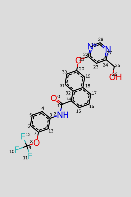 O=C(Nc1cccc(OC(F)(F)F)c1)c1cccc2cc(Oc3cc(CO)ncn3)ccc12